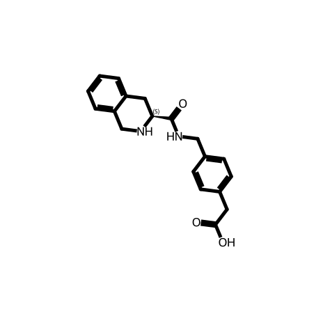 O=C(O)Cc1ccc(CNC(=O)[C@@H]2Cc3ccccc3CN2)cc1